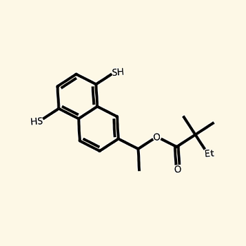 CCC(C)(C)C(=O)OC(C)c1ccc2c(S)ccc(S)c2c1